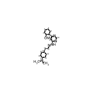 COc1ccccc1-c1cc(NN=CCc2ccc(N(C)C)cc2)ncn1